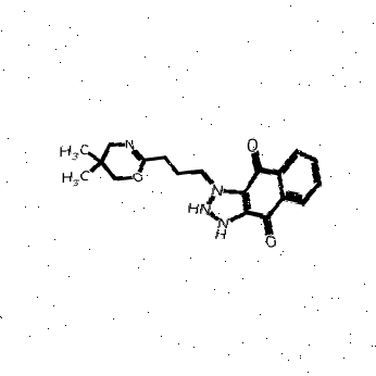 CC1(C)CN=C(CCCn2[nH][nH]c3c(=O)c4ccccc4c(=O)c2=3)OC1